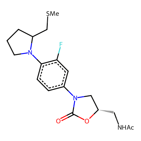 CSCC1CCCN1c1ccc(N2C[C@H](CNC(C)=O)OC2=O)cc1F